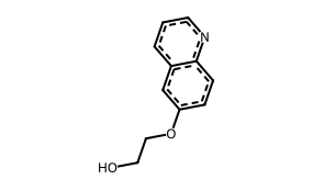 OCCOc1ccc2ncccc2c1